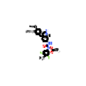 COc1ccc(C[C@@]23CCN[C@H]2C[C@H](NC(=O)N(OC(=O)C(F)(F)F)c2cc(F)c(C(F)(F)F)c(F)c2)CC3)cc1OC